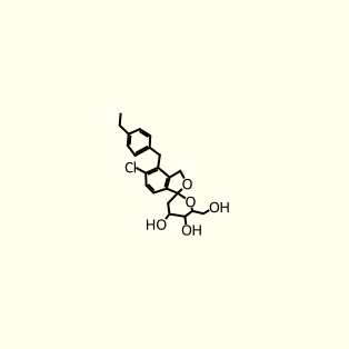 CCc1ccc(Cc2c(Cl)ccc3c2COC32CC(O)C(O)C(CO)O2)cc1